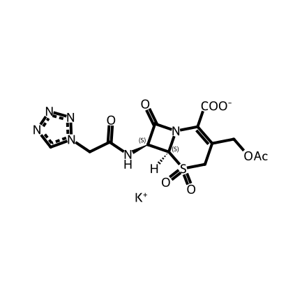 CC(=O)OCC1=C(C(=O)[O-])N2C(=O)[C@H](NC(=O)Cn3cnnn3)[C@@H]2S(=O)(=O)C1.[K+]